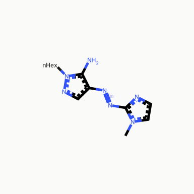 CCCCCCn1ncc(/N=N/c2nccn2C)c1N